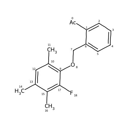 CC(=O)c1ccccc1COc1c(C)cc(C)c(C)c1F